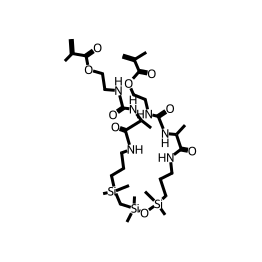 C=C(C)C(=O)OCCNC(=O)NC(C)C(=O)NCCC[Si](C)(C)C[Si](C)(C)O[Si](C)(C)CCCNC(=O)C(C)NC(=O)NCCOC(=O)C(=C)C